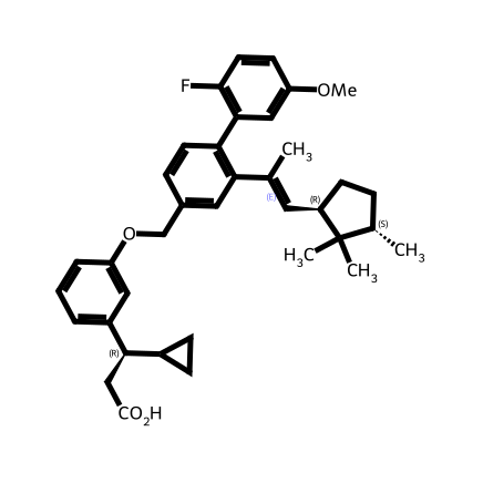 COc1ccc(F)c(-c2ccc(COc3cccc([C@H](CC(=O)O)C4CC4)c3)cc2/C(C)=C/[C@H]2CC[C@H](C)C2(C)C)c1